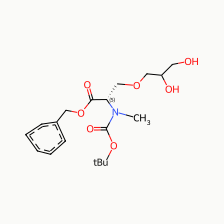 CN(C(=O)OC(C)(C)C)[C@@H](COCC(O)CO)C(=O)OCc1ccccc1